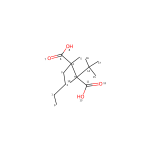 CCCCC(C)(C(=O)O)C(C)(C(=O)O)C(C)(C)C